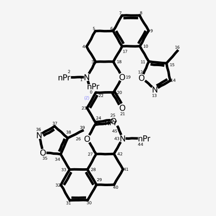 CCCN(CCC)C1CCc2cccc(-c3oncc3C)c2C1OC(=O)/C=C\C(=O)OC1c2c(cccc2-c2oncc2C)CCC1N(CCC)CCC